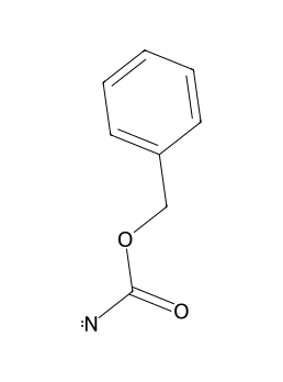 [N]C(=O)OCc1ccccc1